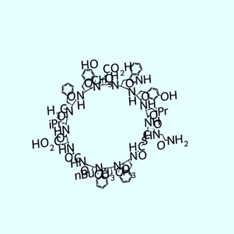 CCCC[C@H]1C(=O)NCC(=O)N[C@@H](CC(=O)O)C(=O)N[C@@H](C(C)C)C(=O)N(C)[C@@H](Cc2ccccc2)C(=O)N[C@@H](Cc2ccc(O)cc2)C(=O)N(C)[C@@H](CCC(=O)O)C(=O)NC(Cc2c[nH]c3ccccc23)C(=O)N[C@@H](Cc2ccc(O)cc2)C(=O)N[C@@H](CC(C)C)C(=O)N[C@H](C(=O)NCC(N)=O)CSCC(=O)N[C@@H](Cc2ccccc2)C(=O)N(C)[C@@H](Cc2ccccc2)C(=O)N1C